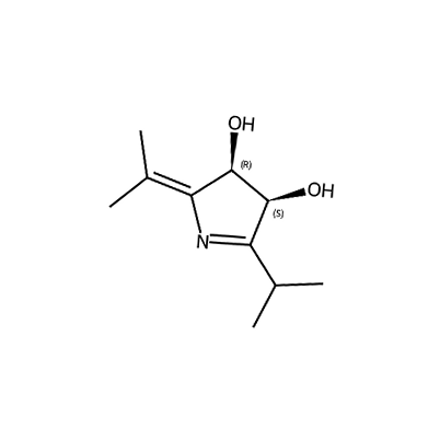 CC(C)=C1N=C(C(C)C)[C@H](O)[C@@H]1O